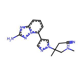 CNCC(C)(CC#N)n1cc(-c2cccc3nc(N)nn23)cn1